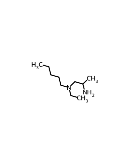 CCCCCN(CC)CC(C)N